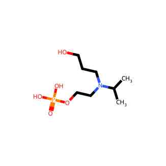 CC(C)N(CCCO)CCOP(=O)(O)O